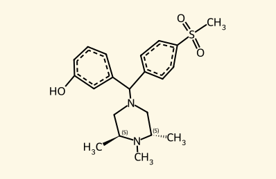 C[C@H]1CN(C(c2ccc(S(C)(=O)=O)cc2)c2cccc(O)c2)C[C@H](C)N1C